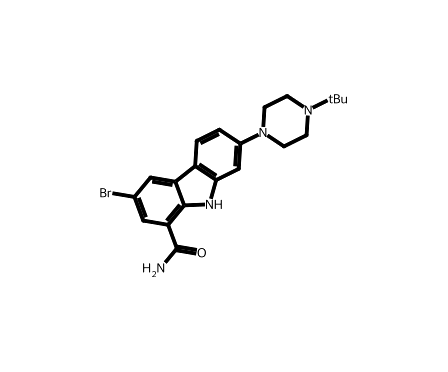 CC(C)(C)N1CCN(c2ccc3c(c2)[nH]c2c(C(N)=O)cc(Br)cc23)CC1